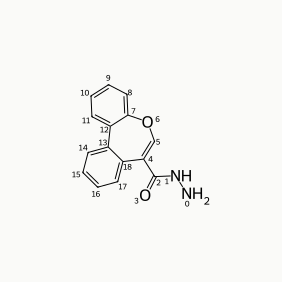 NNC(=O)C1=COc2ccccc2-c2ccccc21